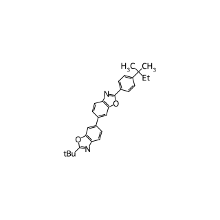 CCC(C)(C)c1ccc(-c2nc3ccc(-c4ccc5nc(C(C)(C)C)oc5c4)cc3o2)cc1